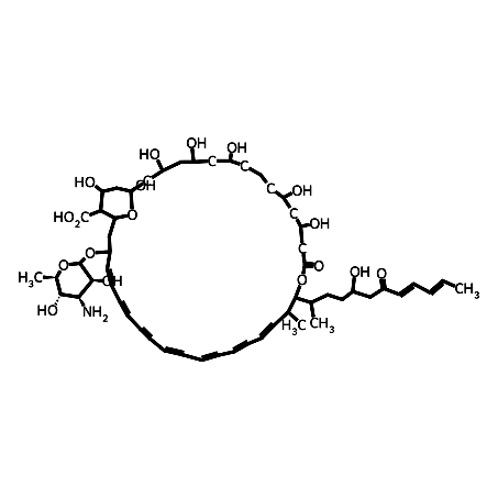 C/C=C/C=C/C(=O)CC(O)CCC(C)C1OC(=O)CC(O)CC(O)CCCC(O)CC(O)CC(O)CC2(O)CC(O)C(C(=O)O)C(CC(OC3O[C@H](C)[C@@H](O)[C@H](N)[C@@H]3O)/C=C/C=C/C=C/C=C\C=C/C=C/C=C/C1C)O2